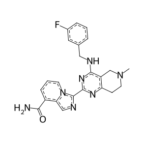 CN1CCc2nc(-c3ncc4c(C(N)=O)cccn34)nc(NCc3cccc(F)c3)c2C1